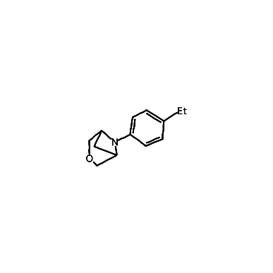 CCc1ccc(N2C3COCC2C3)cc1